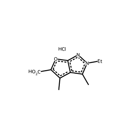 CCn1nc2oc(C(=O)O)c(C)c2c1C.Cl